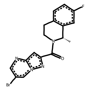 C[C@H]1c2cc(F)ccc2CCN1C(=O)c1cc2ncc(Br)cn2n1